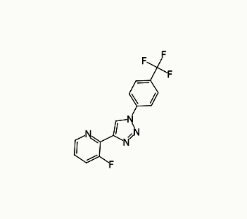 Fc1cccnc1-c1cn(-c2ccc(C(F)(F)F)cc2)nn1